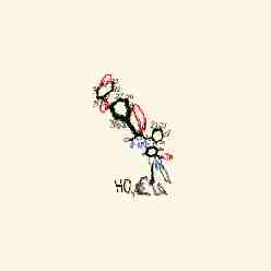 Cc1c(C(Nc2ccc(C(=O)N(C)CCC(=O)O)cc2)C2CCCCC2)oc2ccc(OC3CCOCC3)cc12